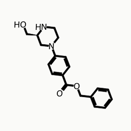 O=C(OCc1ccccc1)c1ccc(N2CCN[C@H](CO)C2)cc1